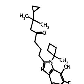 CC(C)(CC(=O)CCCc1nc2ccc(F)c(C#N)c2n1C1(C)CCC1)C1CC1